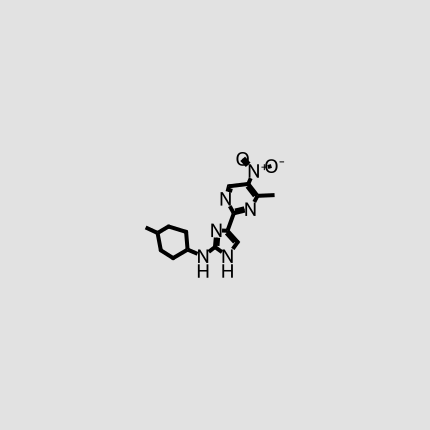 Cc1nc(-c2c[nH]c(NC3CCC(C)CC3)n2)ncc1[N+](=O)[O-]